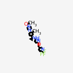 CC(=O)N1CCN(c2ccc(C3(Nc4ccc(OCc5ccc(C(F)(F)F)nc5)nn4)CC3)cc2C)CC1